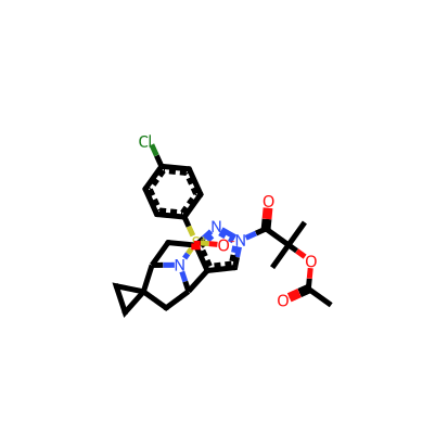 CC(=O)OC(C)(C)C(=O)n1cc2c(n1)CC1N([S+]([O-])c3ccc(Cl)cc3)C2CC12CC2